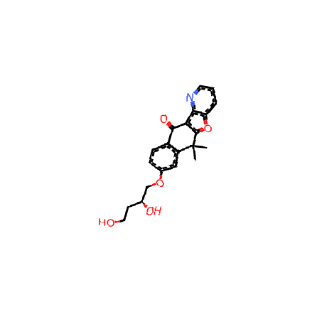 CC1(C)c2cc(OC[C@@H](O)CCO)ccc2C(=O)c2c1oc1cccnc21